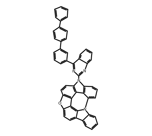 c1ccc(-c2ccc(-c3cccc(-c4nc(-n5c6ccc7oc8ccc9c%10ccccc%10n%10c%11cccc5c%11c6c7c8c9%10)nc5ccccc45)c3)cc2)cc1